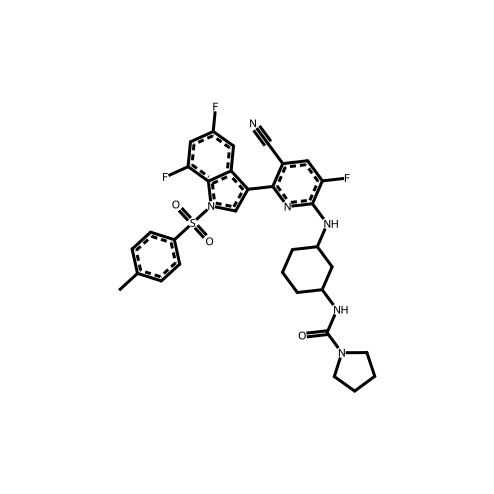 Cc1ccc(S(=O)(=O)n2cc(-c3nc(NC4CCCC(NC(=O)N5CCCC5)C4)c(F)cc3C#N)c3cc(F)cc(F)c32)cc1